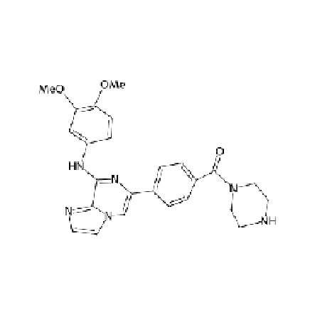 COc1ccc(Nc2nc(-c3ccc(C(=O)N4CCNCC4)cc3)cn3ccnc23)cc1OC